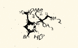 COC(=O)c1cc(Br)nn1C(C)(C)CN.Cl